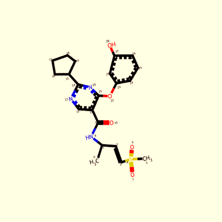 CC(C=CS(C)(=O)=O)NC(=O)c1cnc(C2CCCC2)nc1Oc1cccc(O)c1